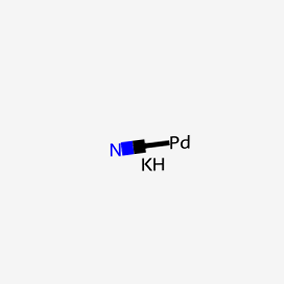 N#[C][Pd].[KH]